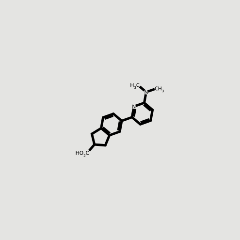 CN(C)c1cccc(-c2ccc3c(c2)CC(C(=O)O)C3)n1